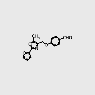 Cc1oc(-c2ccco2)nc1COc1ccc(C=O)cc1